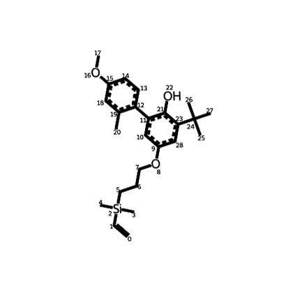 C=C[Si](C)(C)CCCOc1cc(-c2ccc(OC)cc2C)c(O)c(C(C)(C)C)c1